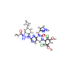 C=CC(=O)N[C@H]1CC(C2CCC2)CC[C@H]1Nc1ncc2c(n1)N(Cc1ccn(C)n1)C(=O)N(c1c(Cl)c(OC)cc(OC)c1Cl)C2